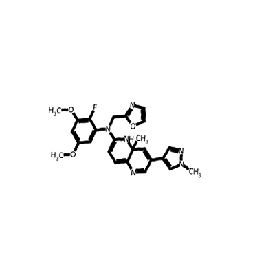 COc1cc(OC)c(F)c(N(Cc2ncco2)C2=CC=C3N=CC(c4cnn(C)c4)=CC3(C)N2)c1